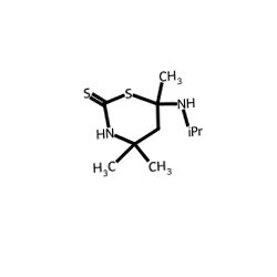 CC(C)NC1(C)CC(C)(C)NC(=S)S1